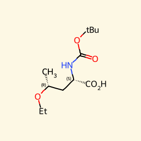 CCO[C@H](C)C[C@H](NC(=O)OC(C)(C)C)C(=O)O